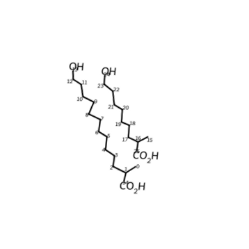 CC(CCCCCCCCCCCO)C(=O)O.CC(CCCCCCCO)C(=O)O